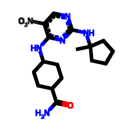 CC1(Nc2ncc([N+](=O)[O-])c(NC3CCC(C(N)=O)CC3)n2)CCCC1